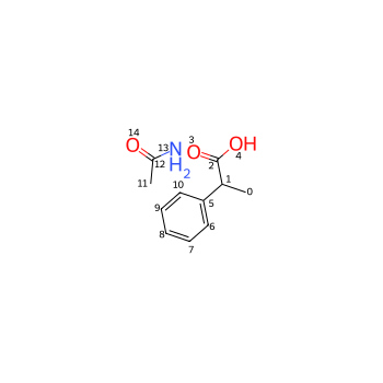 CC(C(=O)O)c1ccccc1.CC(N)=O